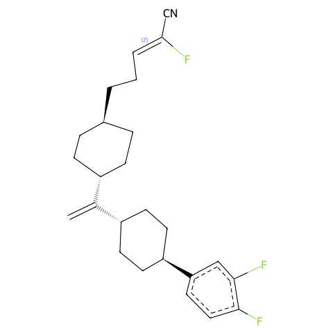 C=C([C@H]1CC[C@H](CC/C=C(\F)C#N)CC1)[C@H]1CC[C@H](c2ccc(F)c(F)c2)CC1